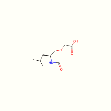 CC(C)C[C@@H](COCC(=O)O)N[C]=O